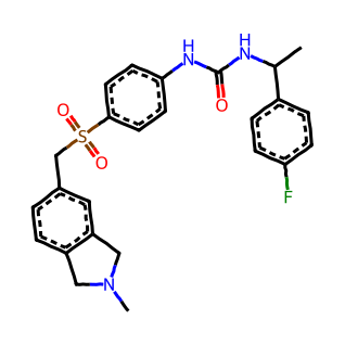 CC(NC(=O)Nc1ccc(S(=O)(=O)Cc2ccc3c(c2)CN(C)C3)cc1)c1ccc(F)cc1